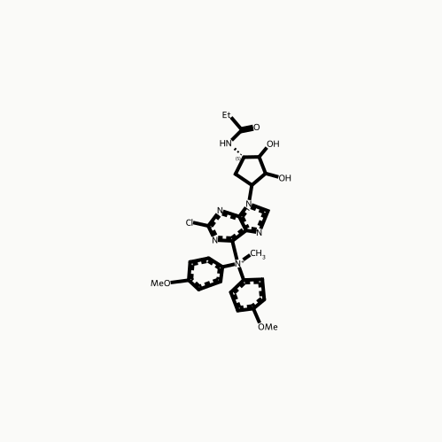 CCC(=O)N[C@H]1CC(n2cnc3c([N+](C)(c4ccc(OC)cc4)c4ccc(OC)cc4)nc(Cl)nc32)C(O)C1O